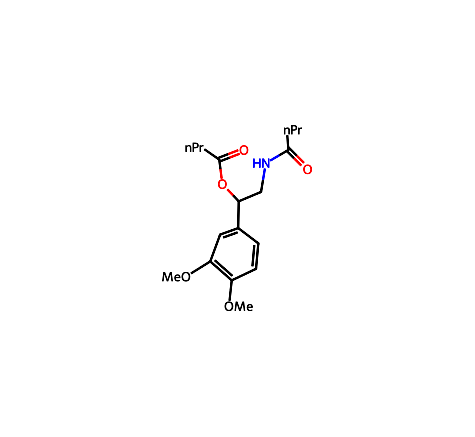 CCCC(=O)NCC(OC(=O)CCC)c1ccc(OC)c(OC)c1